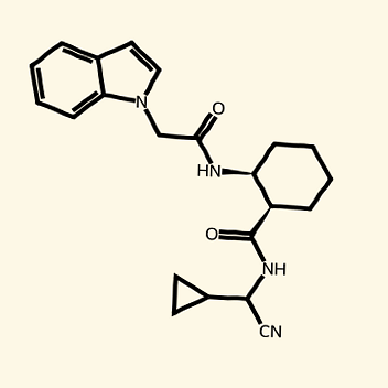 N#CC(NC(=O)[C@@H]1CCCC[C@@H]1NC(=O)Cn1ccc2ccccc21)C1CC1